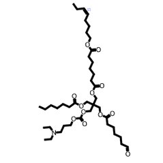 CC/C=C\CCCCOC(=O)CCCCCC(=O)OCC(COC(=O)CCCCCC)(COC(=O)CCCCCC=O)COC(=O)OCCCN(CC)CC